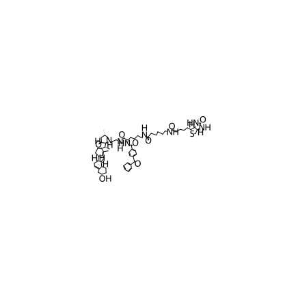 CC1=C2C[C@H]3[C@@H](CC=C4C[C@@H](O)CC[C@@]43C)[C@@H]2CCC12O[C@@H]1C[C@H](C)CN(CCNC(=O)C(CCCCNC(=O)CCCCCNC(=O)CCCCC3SC[C@@H]4NC(=O)N[C@H]34)NC(=O)c3ccc(C(=O)c4ccccc4)cc3)[C@H]1[C@H]2C